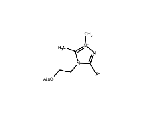 COCCn1c(S)n[n+](C)c1C